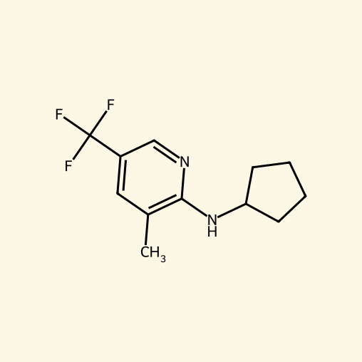 Cc1cc(C(F)(F)F)cnc1NC1CCCC1